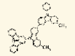 Cc1ccc2c(c1)c1cc(-c3ccc4c(c3)c3cc(C)ccc3n4-c3cc4c5ccccc5n5c6ccccc6c(c3)c45)ccc1n2-c1ccccc1